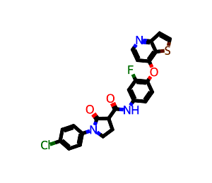 O=C(Nc1ccc(Oc2ccnc3ccsc23)c(F)c1)C1CCN(c2ccc(Cl)cc2)C1=O